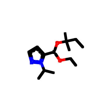 CCOB(OC(C)(C)CC)c1ccnn1C(C)C